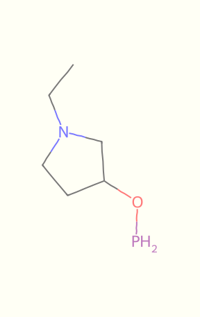 CCN1CCC(OP)C1